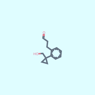 O=CCCc1ccccc1C1(CO)CC1